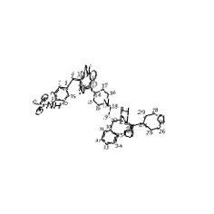 CS(=O)(=O)Nc1ccc(Cc2noc(C3CCN(CC[C@H](NC(=O)C4CCOCC4)c4ccccc4)CC3)n2)cc1